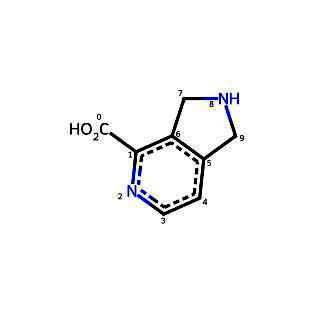 O=C(O)c1nccc2c1CNC2